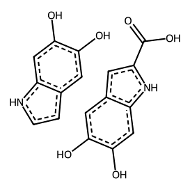 O=C(O)c1cc2cc(O)c(O)cc2[nH]1.Oc1cc2cc[nH]c2cc1O